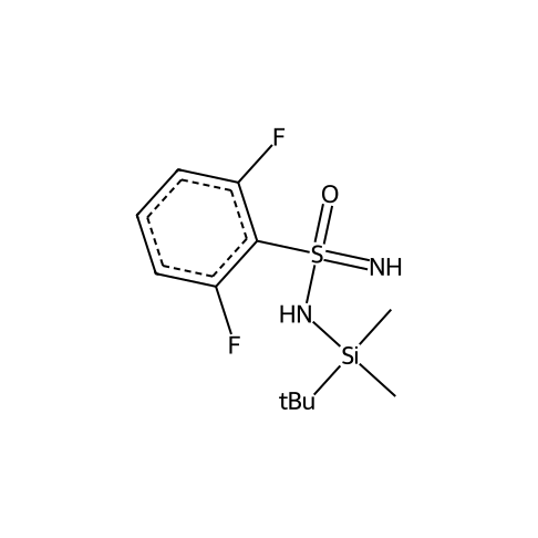 CC(C)(C)[Si](C)(C)NS(=N)(=O)c1c(F)cccc1F